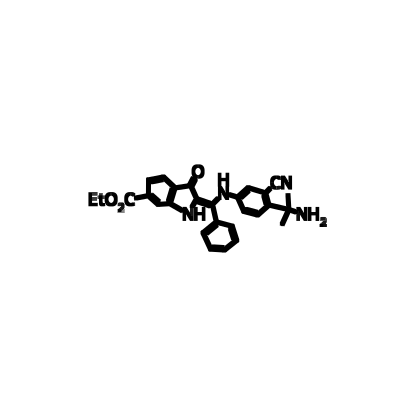 CCOC(=O)c1ccc2c(c1)NC(=C(Nc1ccc(C(C)(C)N)c(C#N)c1)c1ccccc1)C2=O